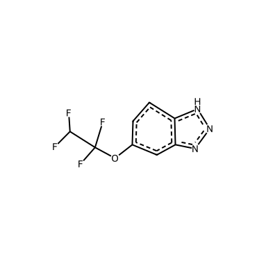 FC(F)C(F)(F)Oc1ccc2[nH]nnc2c1